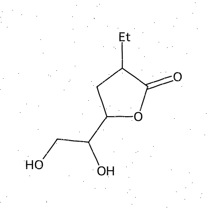 CCC1CC(C(O)CO)OC1=O